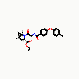 CCOC(=O)[C@@H]1C[C@]2(C)C[C@@H]2N1C(=O)CNC(=O)c1ccc(Oc2ccc(C)cc2)cc1